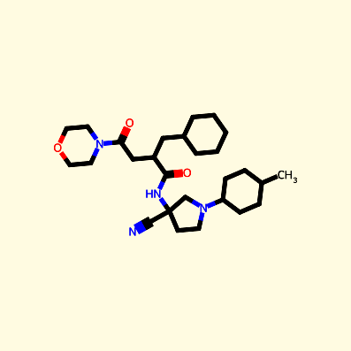 CC1CCC(N2CCC(C#N)(NC(=O)C(CC(=O)N3CCOCC3)CC3CCCCC3)C2)CC1